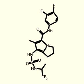 Cc1c(NS(=O)(=O)NC(C)C(F)(F)F)c2n(c1C(=O)Nc1ccc(F)c(F)c1)CCC2